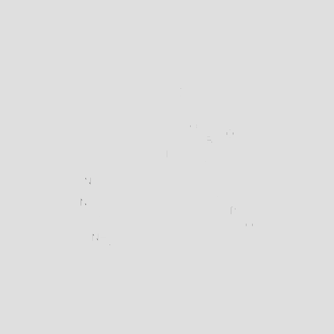 Cc1nnc(N)c2ccc(-c3cc(P(C)(C)=O)cc(B(O)OC=O)c3F)cc12